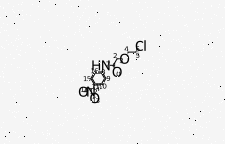 O=C(COCCCl)Nc1ccc([N+](=O)[O-])cc1